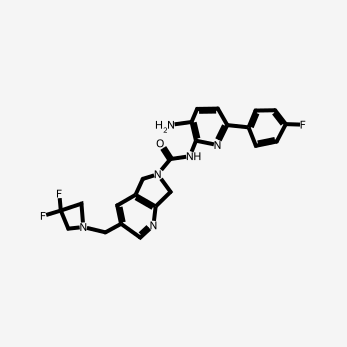 Nc1ccc(-c2ccc(F)cc2)nc1NC(=O)N1Cc2cc(CN3CC(F)(F)C3)cnc2C1